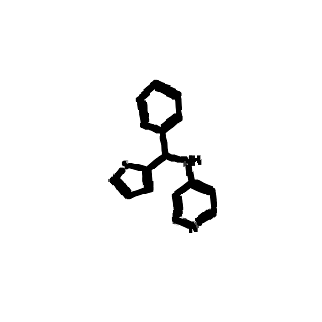 c1ccc(C(Nc2ccncc2)c2cccs2)cc1